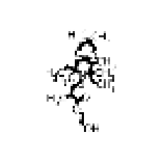 CCC1(C)CC2(OCC(C)(C)CO2)C(C)C(C)(CC)N1OCC(C)C(=O)OCCO